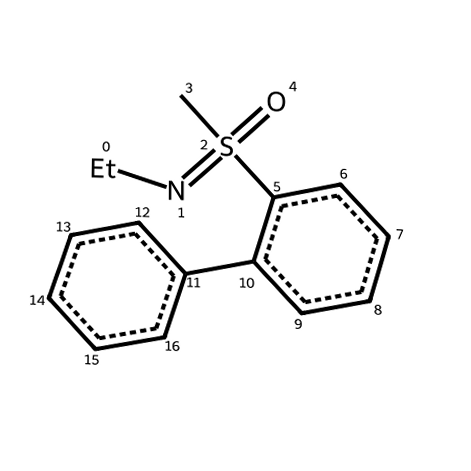 CCN=S(C)(=O)c1ccccc1-c1ccccc1